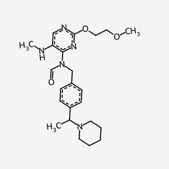 CNc1cnc(OCCOC)nc1N(C=O)Cc1ccc(C(C)N2CCCCC2)cc1